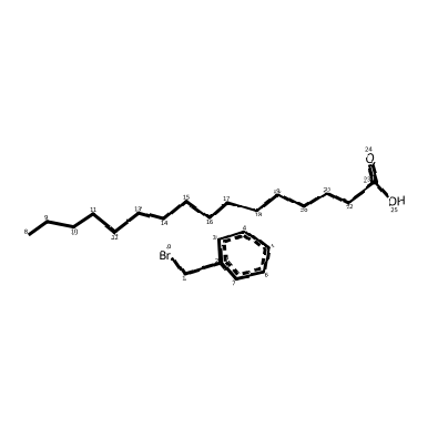 BrCc1ccccc1.CCCCCCCCCCCCCCCC(=O)O